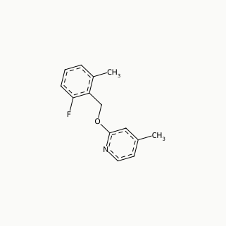 Cc1ccnc(OCc2c(C)cccc2F)c1